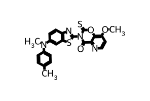 COc1ccnc2c(=O)n(-c3nc4ccc(N(C)c5ccc(C)cc5)cc4s3)c(=S)oc12